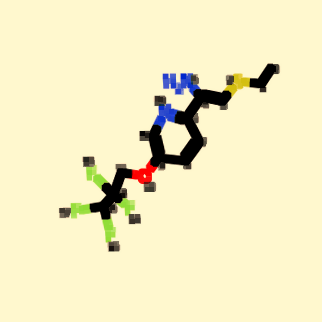 CCS/C=C(\N)c1ccc(OCC(F)(F)C(F)F)cn1